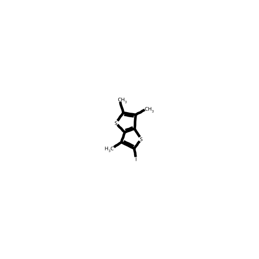 Cc1sc2c(C)c(I)sc2c1C